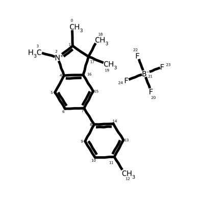 CC1=[N+](C)c2ccc(-c3ccc(C)cc3)cc2C1(C)C.F[B-](F)(F)F